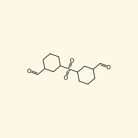 O=CC1CCCC(S(=O)(=O)C2CCCC(C=O)C2)C1